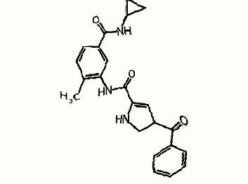 Cc1ccc(C(=O)NC2CC2)cc1NC(=O)C1=CC(C(=O)c2ccccc2)CN1